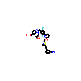 N#Cc1cccc(C#Cc2cnc(COc3cccc(-c4cc(F)c(Cc5nc6ccc(C(=O)O)cc6n5C[C@@H]5CCO5)cc4F)n3)s2)c1